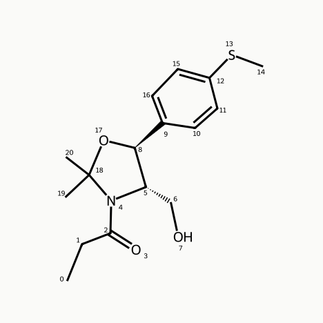 CCC(=O)N1[C@@H](CO)[C@H](c2ccc(SC)cc2)OC1(C)C